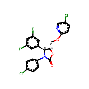 O=C1O[C@@H](COc2ccc(Cl)cn2)[C@H](c2cc(F)cc(F)c2)N1c1ccc(Cl)cc1